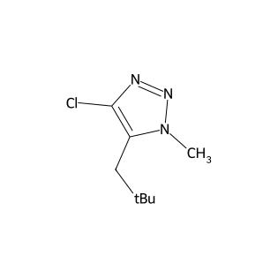 Cn1nnc(Cl)c1CC(C)(C)C